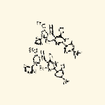 CCO[C@H]1CN(c2nccs2)C[C@H]1Nc1c(CC)nc(-c2ccc(N(C)C)cc2Cl)n(C)c1=O.CCO[C@H]1CN(c2nccs2)C[C@H]1Nc1c(CC)nc(-c2cnc(N(C)C)cc2C)n(C)c1=O